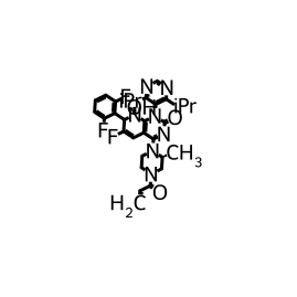 C=CC(=O)N1CCN(c2nc(=O)n(-c3c(C(C)C)ncnc3C(C)C)c3c2C=C(F)C(c2c(F)cccc2F)N3O)[C@@H](C)C1